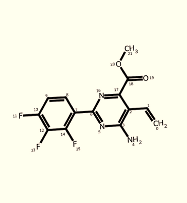 C=Cc1c(N)nc(-c2ccc(F)c(F)c2F)nc1C(=O)OC